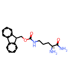 NC(=O)[C@@H](N)CCCNC(=O)OCC1c2ccccc2-c2ccccc21